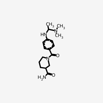 CC(Nc1ccc(C(=O)N2CCCC(C(N)=O)C2)cc1)N(C)C